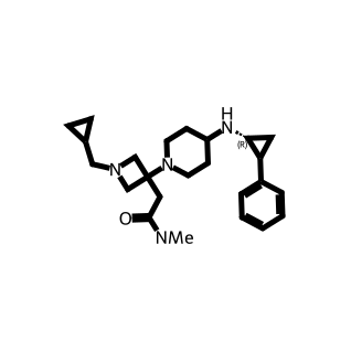 CNC(=O)CC1(N2CCC(N[C@@H]3CC3c3ccccc3)CC2)CN(CC2CC2)C1